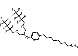 CCCCCCCCCc1ccc(OC(COCC(F)(F)C(F)(F)C(F)(F)F)COCC(F)(F)C(F)(F)C(F)(F)F)cc1